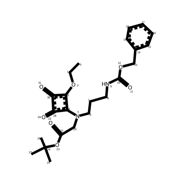 CCOc1c(N(CCCNC(=O)OCc2ccccc2)CC(=O)OC(C)(C)C)c(=O)c1=O